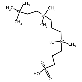 C[N+](C)(CCC[Si](C)(C)CC[Si](C)(C)C)CCCS(=O)(=O)O